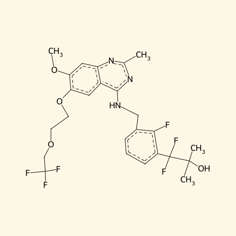 COc1cc2nc(C)nc(NCc3cccc(C(F)(F)C(C)(C)O)c3F)c2cc1OCCOCC(F)(F)F